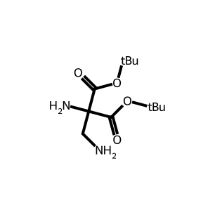 CC(C)(C)OC(=O)C(N)(CN)C(=O)OC(C)(C)C